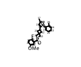 COc1ccc(F)c(C(=O)N2CC3(CC(c4cc(C)nn4-c4ccccc4C)C3)C2)c1